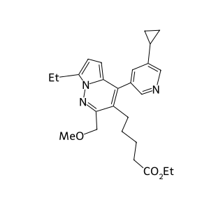 CCOC(=O)CCCCc1c(COC)nn2c(CC)ccc2c1-c1cncc(C2CC2)c1